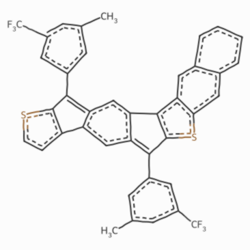 Cc1cc(C2=c3cc4c(cc3-c3ccsc32)=C(c2cc(C)cc(C(F)(F)F)c2)c2sc3cc5ccccc5cc3c2-4)cc(C(F)(F)F)c1